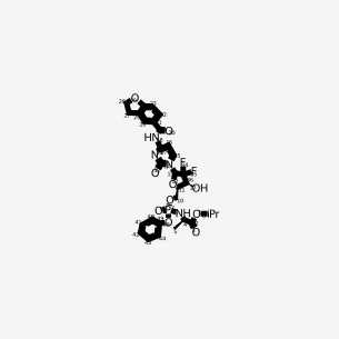 CC(C)OC(=O)[C@@H](C)NP(=O)(OC[C@H]1OC(n2ccc(NC(=O)c3ccc4c(c3)CCO4)nc2=O)C(F)(F)[C@@H]1O)Oc1ccccc1